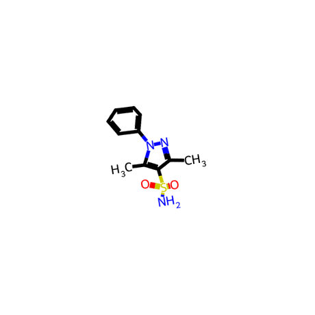 Cc1nn(-c2ccccc2)c(C)c1S(N)(=O)=O